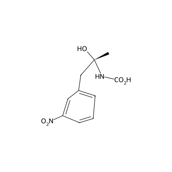 C[C@](O)(Cc1cccc([N+](=O)[O-])c1)NC(=O)O